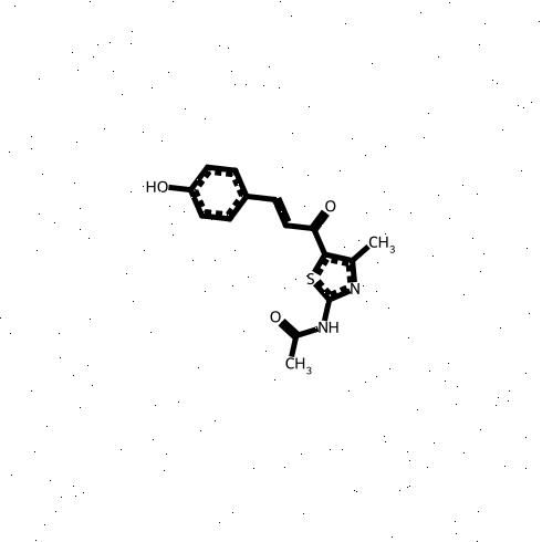 CC(=O)Nc1nc(C)c(C(=O)C=Cc2ccc(O)cc2)s1